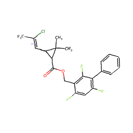 CC1(C)C(/C=C(\Cl)C(F)(F)F)C1C(=O)OCc1c(F)cc(F)c(-c2ccccc2)c1F